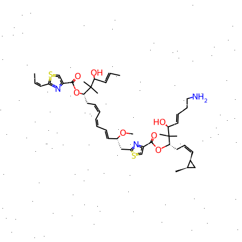 C/C=C\c1nc(C(=O)O[C@@H](C\C=C/C=C\C=C\[C@@H](Cc2nc(C(=O)O[C@@H](C/C=C\[C@H]3C[C@H]3C)C(C)(C)[C@@H](O)/C=C/CCN)cs2)OC)C(C)(C)[C@@H](O)/C=C/C)cs1